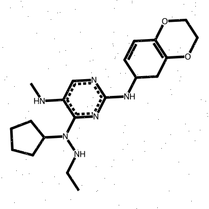 CCNN(c1nc(NC2C=CC3=C(C2)OCCO3)ncc1NC)C1CCCC1